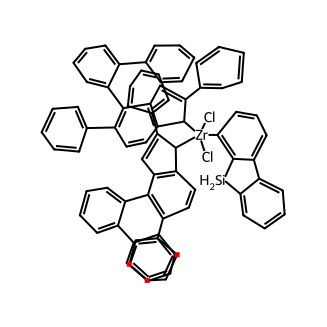 [Cl][Zr]([Cl])([c]1cccc2c1[SiH2]c1ccccc1-2)([CH]1C(c2ccccc2)=Cc2c1ccc(-c1ccccc1)c2-c1ccccc1-c1ccccc1)[CH]1C(c2ccccc2)=Cc2c1ccc(-c1ccccc1)c2-c1ccccc1-c1ccccc1